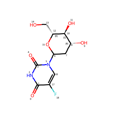 O=c1[nH]c(=O)n(C2C[C@@H](O)[C@H](O)[C@@H](CO)O2)cc1F